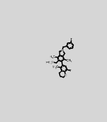 Cc1c(-c2c(C)c3c(c(C)c2CC(=O)O)CN(Cc2cccc(F)c2)C3)cc(F)c2c1CCCO2